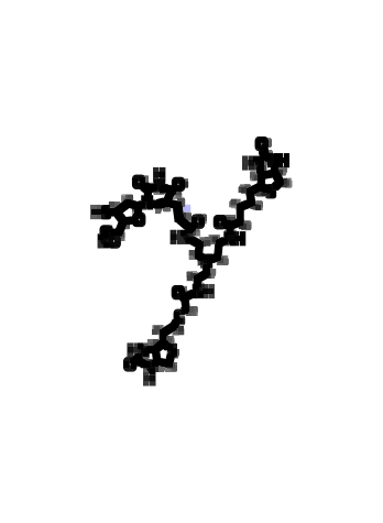 O=NOCC1OC(n2cc(/C=C/C(=O)NCCN(CCNC(=O)CCCCC3SCC4NC(=O)NC43)CCNC(=O)CCCCC3SCC4NC(=O)NC43)c(=O)[nH]c2=O)CC1S